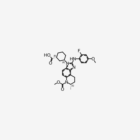 COC(=O)N1c2ccc3c(nc(Nc4ccc(OC)cc4F)n3[C@@H]3CCC[C@@H](C(=O)O)C3)c2CC[C@@H]1C